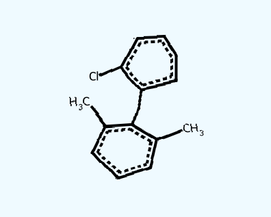 Cc1cccc(C)c1-c1ccc[c]c1Cl